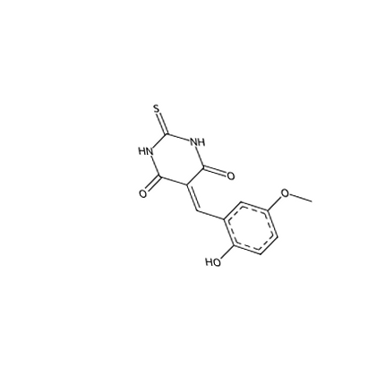 COc1ccc(O)c(C=C2C(=O)NC(=S)NC2=O)c1